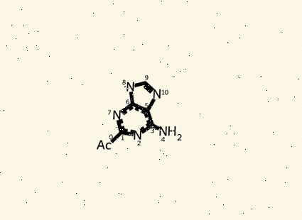 CC(=O)c1nc(N)c2c(n1)[N]C=N2